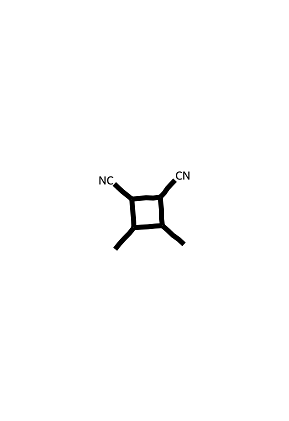 CC1C(C)C(C#N)C1C#N